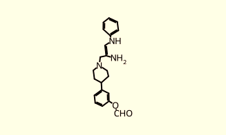 N/C(=C\Nc1ccccc1)CN1CCC(c2cccc(OC=O)c2)CC1